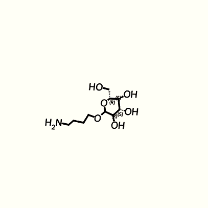 NCCCCOC1O[C@H](CO)[C@@H](O)[C@H](O)[C@H]1O